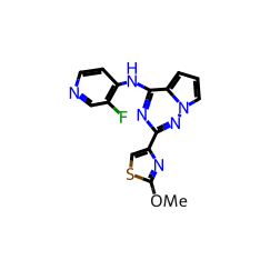 COc1nc(-c2nc(Nc3ccncc3F)c3cccn3n2)cs1